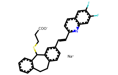 O=C([O-])CCSC1c2ccccc2CCc2ccc(C=Cc3ccc4cc(F)c(F)cc4n3)cc21.[Na+]